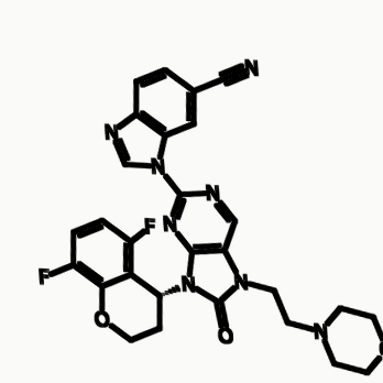 N#Cc1ccc2ncn(-c3ncc4c(n3)n([C@@H]3CCOc5c(F)ccc(F)c53)c(=O)n4CCN3CCOCC3)c2c1